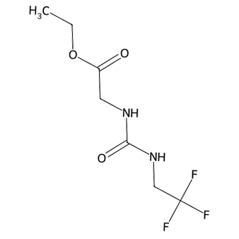 CCOC(=O)CNC(=O)NCC(F)(F)F